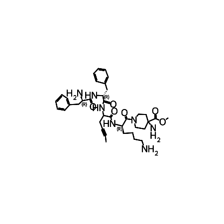 CC#CCC(NC(=O)[C@@H](Cc1ccccc1)NC(=O)[C@H](N)Cc1ccccc1)C(=O)N[C@H](CCCCN)C(=O)N1CCC(N)(C(=O)OC)CC1